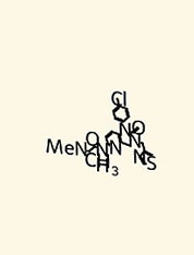 CNC(C)C(=O)Nc1ccc2c(n1)CN(Cc1cscn1)C(=O)N2c1ccc(Cl)cc1